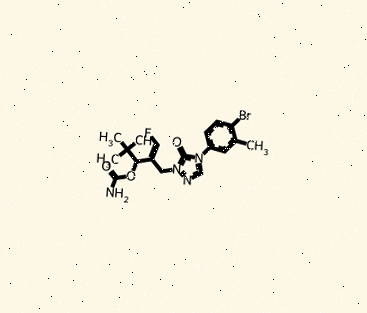 Cc1cc(-n2cnn(CC(=CF)C(OC(N)=O)C(C)(C)C)c2=O)ccc1Br